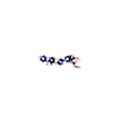 C[C@@H]1OCC2(CCN(c3cnc(Sc4ccnc(NC5CCNCC5)c4Cl)cn3)CC2)[C@@H]1NC(=O)OC(C)(C)C